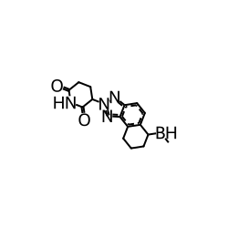 CBC1CCCc2c1ccc1nn(C3CCC(=O)NC3=O)nc21